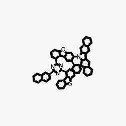 c1ccc(-c2cc3c(cc2-n2c4cc5ccccc5cc4c4cc5ccccc5cc42)oc2cccc(-c4nc(-c5ccc6ccccc6c5)nc(-c5cccc6sc7ccccc7c56)n4)c23)cc1